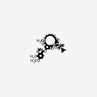 COc1ccc2c(O[C@H]3CC4C(=O)N(C)CCCC/C=C\[C@H]5C[C@@]5(C(=O)NS(=O)(=O)C5CC5)NC(=O)[C@@H]4C3)ncnc2c1C